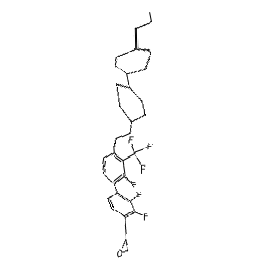 CCCC1CCC(C2CCC(CCc3ccc(-c4ccc(C5CO5)c(F)c4F)c(F)c3C(F)(F)F)CC2)CC1